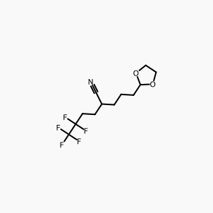 N#CC(CCCC1OCCO1)CCC(F)(F)C(F)(F)F